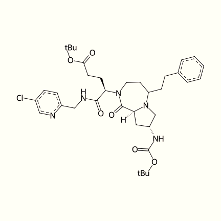 CC(C)(C)OC(=O)CC[C@H](C(=O)NCc1ccc(Cl)cn1)N1CCC(CCc2ccccc2)N2C[C@H](NC(=O)OC(C)(C)C)C[C@H]2C1=O